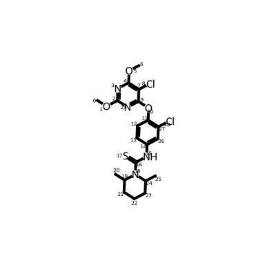 COc1nc(OC)c(Cl)c(Oc2ccc(NC(=S)N3C(C)CCCC3C)cc2Cl)n1